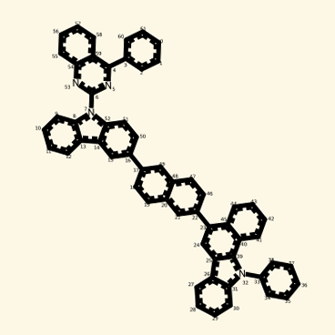 c1ccc(-c2nc(-n3c4ccccc4c4cc(-c5ccc6cc(-c7cc8c9ccccc9n(-c9ccccc9)c8c8ccccc78)ccc6c5)ccc43)nc3ccccc23)cc1